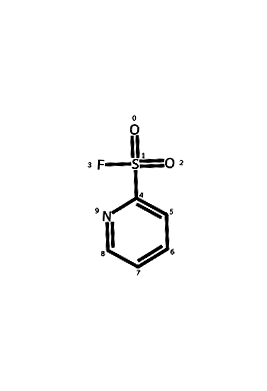 O=S(=O)(F)c1ccccn1